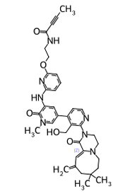 C=C1/C=C2/C(=O)N(c3nccc(-c4cc(Nc5cccc(OCCNC(=O)C#CC)n5)c(=O)n(C)c4)c3CO)CCN2CCC(C)(C)C1